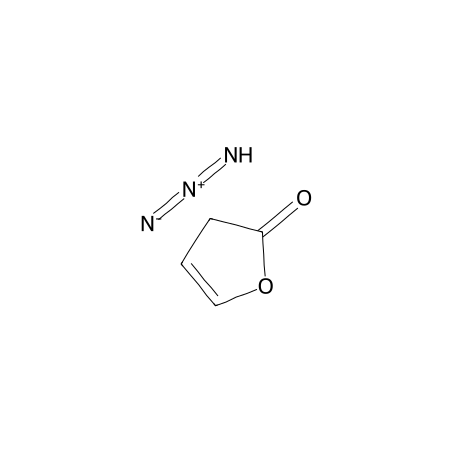 O=C1CC=CO1.[N-]=[N+]=N